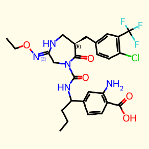 CCCC(NC(=O)N1C/C(=N/OCC)NC[C@@H](Cc2ccc(Cl)c(C(F)(F)F)c2)C1=O)c1ccc(C(=O)O)c(N)c1